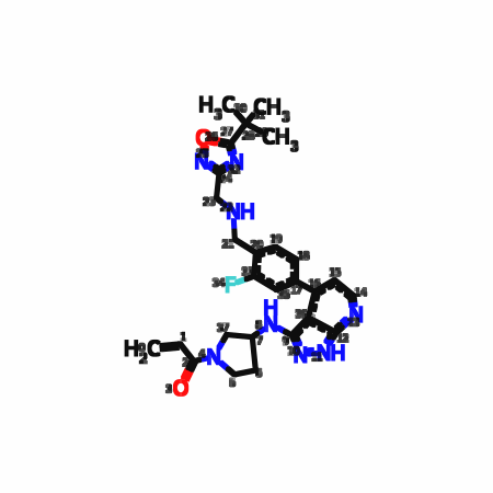 C=CC(=O)N1CCC(Nc2n[nH]c3nccc(-c4ccc(CNCc5noc(C(C)(C)C)n5)c(F)c4)c23)C1